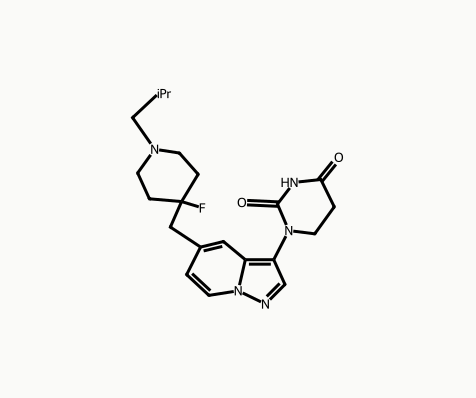 CC(C)CN1CCC(F)(Cc2ccn3ncc(N4CCC(=O)NC4=O)c3c2)CC1